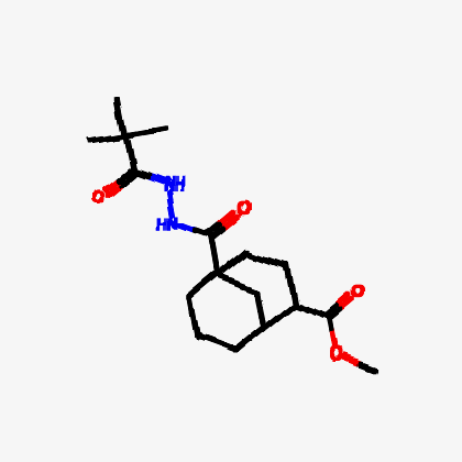 COC(=O)C1CCC2(C(=O)NNC(=O)C(C)(C)C)CCCC1C2